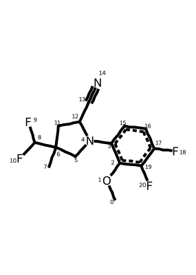 COc1c(N2CC(C)(C(F)F)CC2C#N)ccc(F)c1F